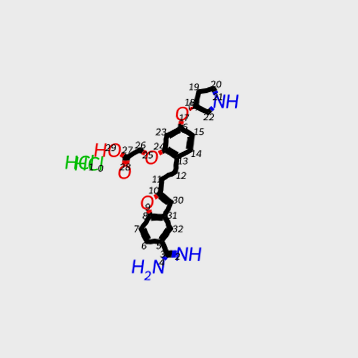 Cl.Cl.N=C(N)c1ccc2oc(CCc3ccc(O[C@H]4CCNC4)cc3OCC(=O)O)cc2c1